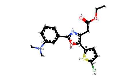 CCOC(=O)Cc1nc(-c2cccc(N(C)C)c2)oc1-c1ccc(Cl)s1